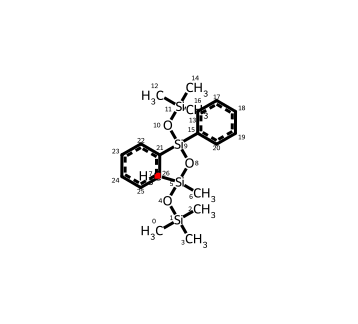 C[Si](C)(C)O[Si](C)(C)O[Si](O[Si](C)(C)C)(c1ccccc1)c1ccccc1